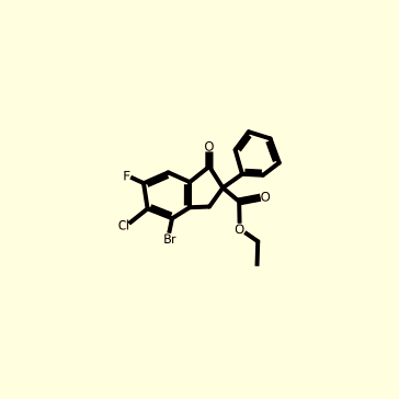 CCOC(=O)C1(c2ccccc2)Cc2c(cc(F)c(Cl)c2Br)C1=O